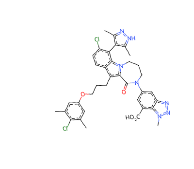 Cc1cc(OCCCc2c3n(c4c(-c5c(C)n[nH]c5C)c(Cl)ccc24)CCCN(c2cc(C(=O)O)c4c(c2)nnn4C)C3=O)cc(C)c1Cl